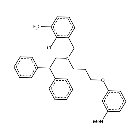 CNc1cccc(OCCCN(Cc2cccc(C(F)(F)F)c2Cl)CC(c2ccccc2)c2ccccc2)c1